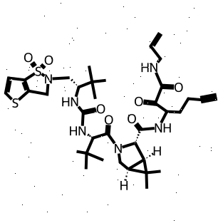 C#CCCC(NC(=O)[C@@H]1[C@@H]2[C@H](CN1C(=O)[C@@H](NC(=O)N[C@H](CN1Cc3sccc3S1(=O)=O)C(C)(C)C)C(C)(C)C)C2(C)C)C(=O)C(=O)NCC=C